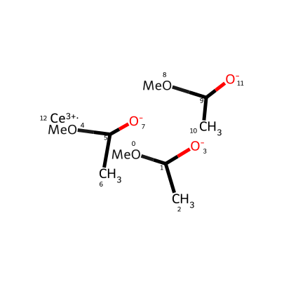 COC(C)[O-].COC(C)[O-].COC(C)[O-].[Ce+3]